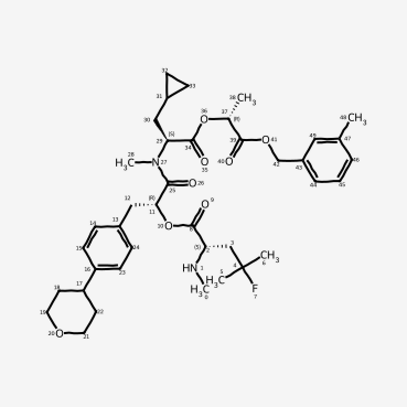 CN[C@@H](CC(C)(C)F)C(=O)O[C@H](Cc1ccc(C2CCOCC2)cc1)C(=O)N(C)[C@@H](CC1CC1)C(=O)O[C@H](C)C(=O)OCc1cccc(C)c1